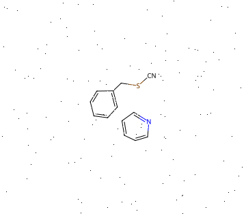 N#CSCc1ccccc1.c1ccncc1